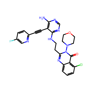 Nc1ncnc(NCCc2nc3cccc(Cl)c3c(=O)n2N2CCOCC2)c1C#Cc1ccc(F)cn1